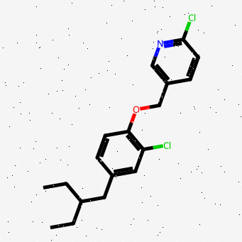 CCC(CC)Cc1ccc(OCc2ccc(Cl)nc2)c(Cl)c1